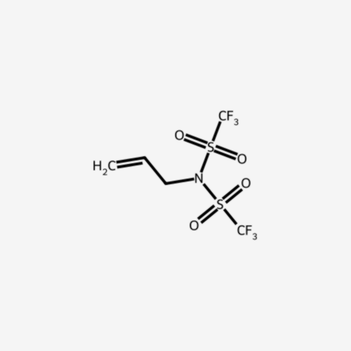 C=CCN(S(=O)(=O)C(F)(F)F)S(=O)(=O)C(F)(F)F